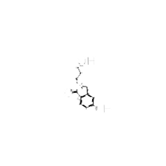 Cc1ccc2c(c1)CN(CCCO)C2=O